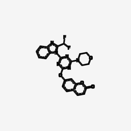 O=c1ccc2ccc(Oc3nc(N4CCOCC4)nc(-n4c(C(F)F)nc5ccccc54)n3)cc2o1